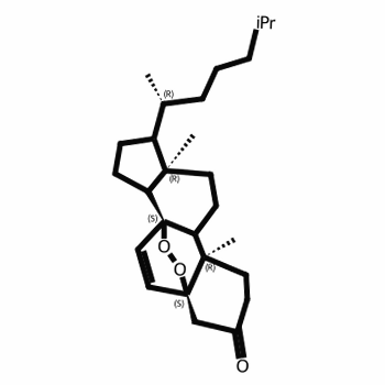 CC(C)CCC[C@@H](C)C1CCC2[C@]1(C)CCC1[C@]23C=C[C@]2(CC(=O)CC[C@]12C)OO3